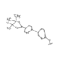 CCCCOc1ccc(-c2ccc(B3OC(C)(C)C(C)(C)O3)cn2)cc1